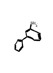 [SiH2]c1cccc(-c2ccccc2)c1